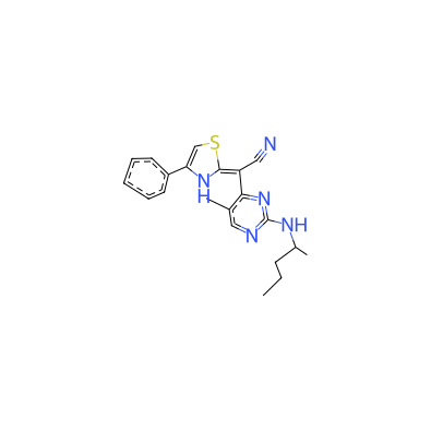 CCCC(C)Nc1ncc(C)c(C(C#N)=C2NC(c3ccccc3)=CS2)n1